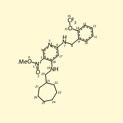 CO[N+](=O)c1cnc(NCc2ccccc2OC(F)(F)F)cc1NCC1CCCCCC1